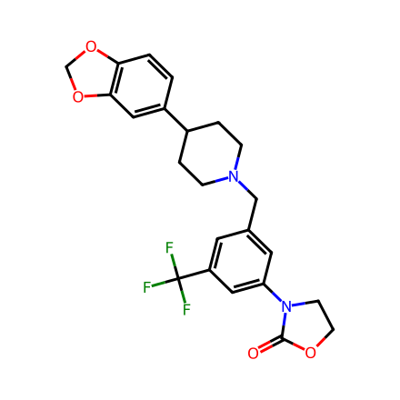 O=C1OCCN1c1cc(CN2CCC(c3ccc4c(c3)OCO4)CC2)cc(C(F)(F)F)c1